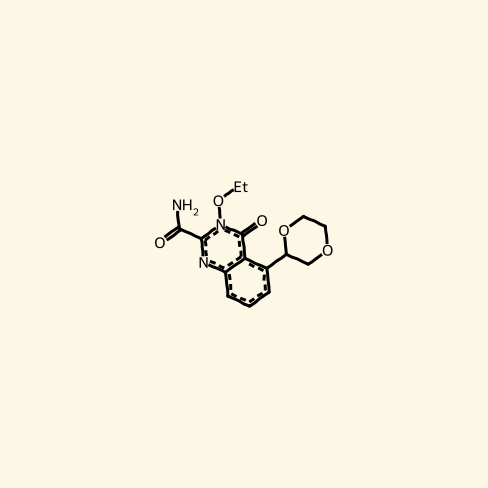 CCOn1c(C(N)=O)nc2cccc(C3COCCO3)c2c1=O